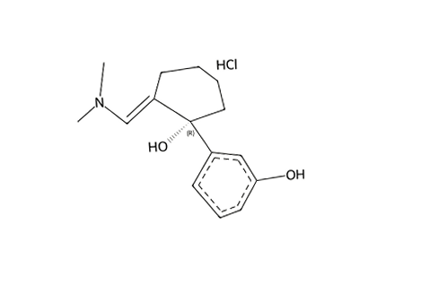 CN(C)C=C1CCCC[C@@]1(O)c1cccc(O)c1.Cl